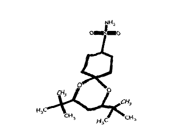 CC(C)(C)C1CC(C(C)(C)C)OC2(CCC(S(N)(=O)=O)CC2)O1